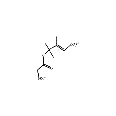 CCCCCCCCCC(=O)OC(C)(C)/C(C)=C/C(=O)O